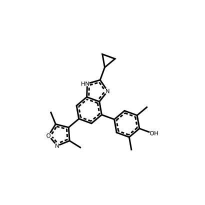 Cc1cc(-c2cc(-c3c(C)noc3C)cc3[nH]c(C4CC4)nc23)cc(C)c1O